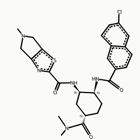 CN1Cc2nc(C(=O)N[C@@H]3C[C@@H](C(=O)N(C)C)CC[C@@H]3NC(=O)c3ccc4cc(Cl)ccc4c3)sc2C1